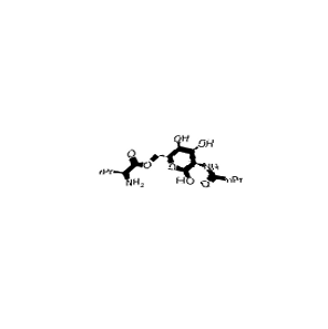 CCCC(=O)N[C@H]1C(O)O[C@H](COC(=O)[C@@H](N)C(C)C)[C@@H](O)[C@@H]1O